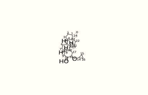 C[C@H]1CC[C@H]2[C@@H]3CC[C@H]4C[C@H](O)[C@@H](OC5CC5)C[C@]4(C)[C@H]3CC[C@]12C